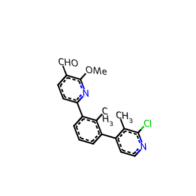 COc1nc(-c2cccc(-c3ccnc(Cl)c3C)c2C)ccc1C=O